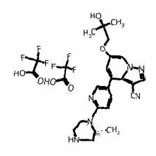 C[C@@H]1CNCCN1c1ccc(-c2cc(OCC(C)(C)O)cn3ncc(C#N)c23)cn1.O=C(O)C(F)(F)F.O=C(O)C(F)(F)F